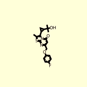 Cc1sc2nc(COc3ccc(F)cc3)cc(=O)n2c1C1CC1C(C)(C)O